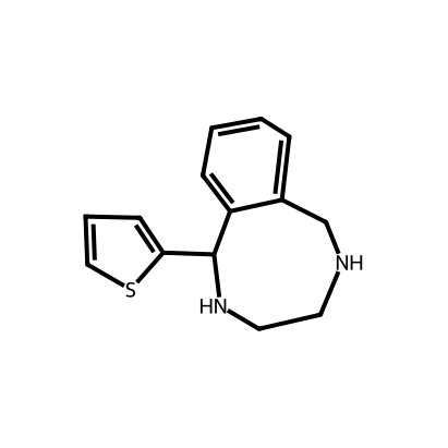 c1csc(C2NCCNCc3ccccc32)c1